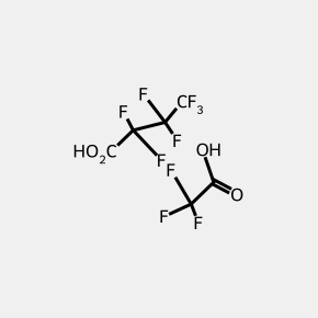 O=C(O)C(F)(F)C(F)(F)C(F)(F)F.O=C(O)C(F)(F)F